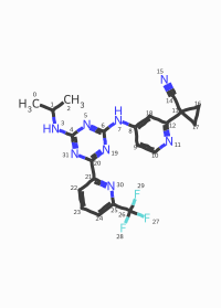 CC(C)Nc1nc(Nc2ccnc(C3(C#N)CC3)c2)nc(-c2cccc(C(F)(F)F)n2)n1